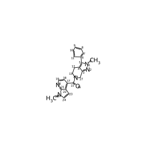 Cn1nc2c(c1-c1ccccc1)CCN(C(=O)c1ccnc3c1ccn3C)C2